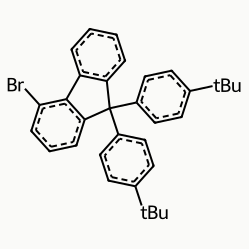 CC(C)(C)c1ccc(C2(c3ccc(C(C)(C)C)cc3)c3ccccc3-c3c(Br)cccc32)cc1